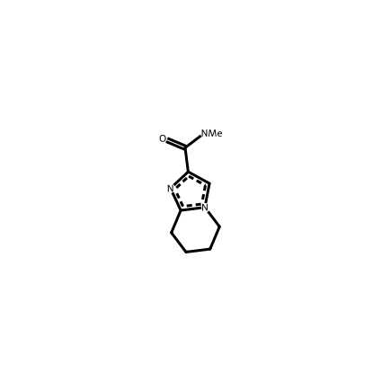 CNC(=O)c1cn2c(n1)CCCC2